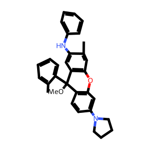 COC1(c2ccccc2C)c2ccc(N3CCCC3)cc2Oc2cc(C)c(Nc3ccccc3)cc21